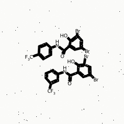 O=C(Nc1ccc(C(F)(F)F)cc1)c1cc(Br)cc(Br)c1O.O=C(Nc1cccc(C(F)(F)F)c1)c1cc(Br)cc(Br)c1O